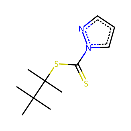 CC(C)(C)C(C)(C)SC(=S)n1cccn1